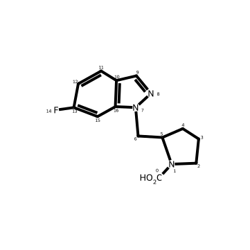 O=C(O)N1CCCC1Cn1ncc2ccc(F)cc21